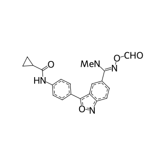 CN/C(=N\OC=O)c1ccc2noc(-c3ccc(NC(=O)C4CC4)cc3)c2c1